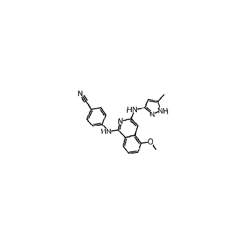 COc1cccc2c(Nc3ccc(C#N)cc3)nc(Nc3cc(C)[nH]n3)cc12